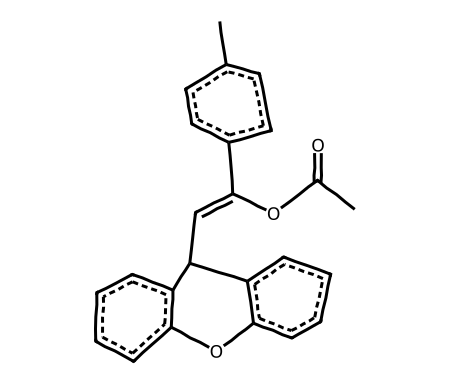 CC(=O)OC(=CC1c2ccccc2Oc2ccccc21)c1ccc(C)cc1